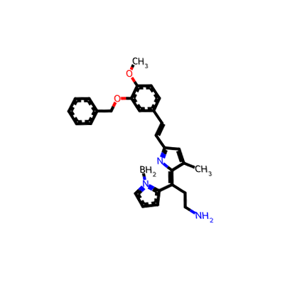 Bn1cccc1/C(CCN)=C1N=C(/C=C/c2ccc(OC)c(OCc3ccccc3)c2)C=C\1C